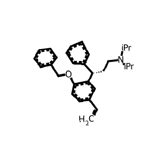 C=Cc1ccc(OCc2ccccc2)c([C@@H](CCN(C(C)C)C(C)C)c2ccccc2)c1